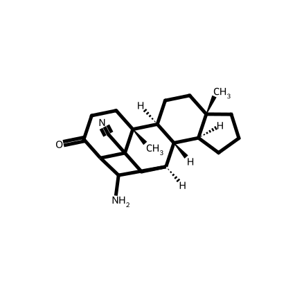 C[C@@]12CCC[C@H]1[C@@H]1[C@H]3CC4(C#N)C(C(=O)CC[C@]4(C)[C@H]1CC2)C3N